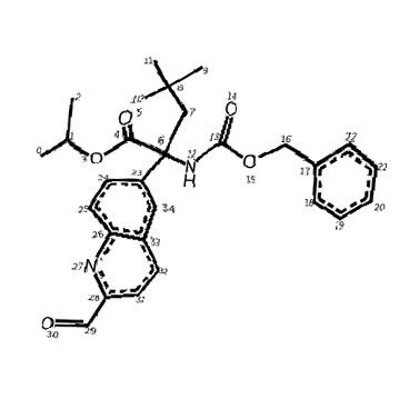 CC(C)OC(=O)C(CC(C)(C)C)(NC(=O)OCc1ccccc1)c1ccc2nc(C=O)ccc2c1